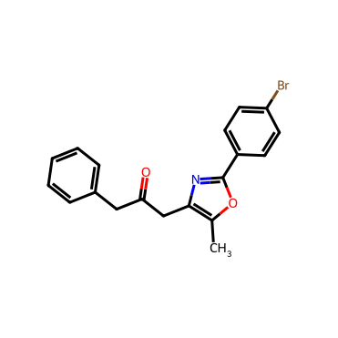 Cc1oc(-c2ccc(Br)cc2)nc1CC(=O)Cc1ccccc1